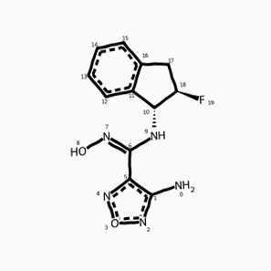 Nc1nonc1/C(=N\O)N[C@@H]1c2ccccc2C[C@H]1F